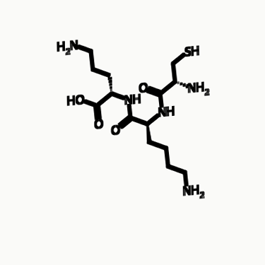 NCCCC[C@H](NC(=O)[C@@H](N)CS)C(=O)N[C@@H](CCCN)C(=O)O